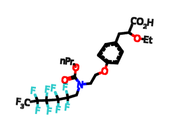 CCCOC(=O)N(CCOc1ccc(CC(OCC)C(=O)O)cc1)CC(F)(F)C(F)(F)C(F)(F)C(F)(F)C(F)(F)F